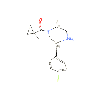 C[C@@H]1CN[C@@H](c2ccc(F)cc2)CN1C(=O)C1(C)CC1